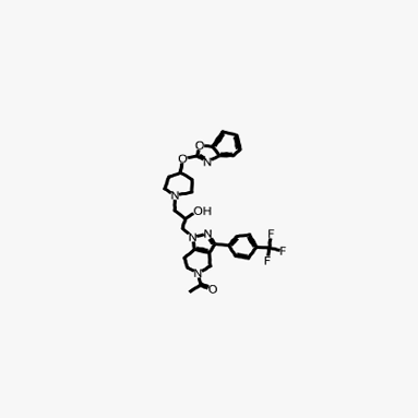 CC(=O)N1CCc2c(c(-c3ccc(C(F)(F)F)cc3)nn2CC(O)CN2CCC(Oc3nc4ccccc4o3)CC2)C1